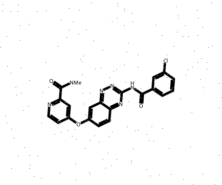 CNC(=O)c1cc(Oc2ccc3nc(NC(=O)c4cccc(Cl)c4)nnc3c2)ccn1